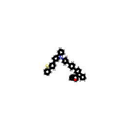 c1ccc2c(c1)-c1ccc(-c3ccc(-c4ccc(-n5c6ccccc6c6ccc(-c7ccc8c(c7)sc7ccccc78)cc65)cc4)cc3)cc1C21C2CC3CC(C2)CC1C3